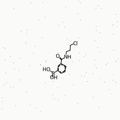 O=C(NCCCCl)c1cccc(B(O)O)c1